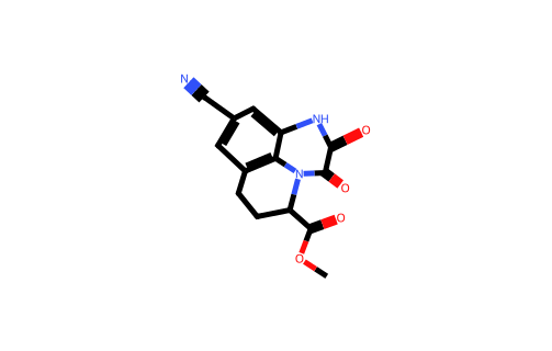 COC(=O)C1CCc2cc(C#N)cc3[nH]c(=O)c(=O)n1c23